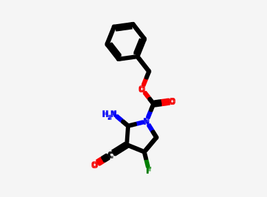 NC1C(=C=O)C(F)CN1C(=O)OCc1ccccc1